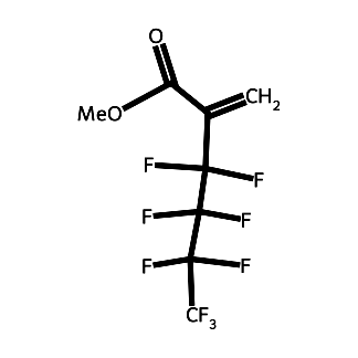 C=C(C(=O)OC)C(F)(F)C(F)(F)C(F)(F)C(F)(F)F